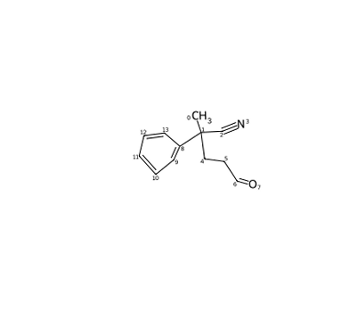 CC(C#N)(CCC=O)c1ccccc1